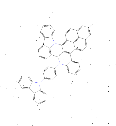 CC(C)(C)c1cc2ccc3c4c5c(c6ccc(c1)c2c36)-n1c2ccccc2c2cccc(c21)B5N(c1ccc(-n2c3ccccc3c3ccccc32)cc1)c1ccccc1-4